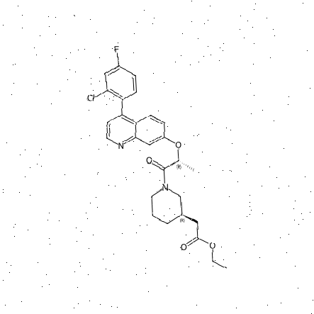 CCOC(=O)C[C@H]1CCCN(C(=O)[C@@H](C)Oc2ccc3c(-c4ccc(F)cc4Cl)ccnc3c2)C1